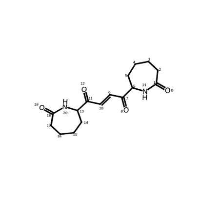 O=C1CCCCC(C(=O)/C=C/C(=O)C2CCCCC(=O)N2)N1